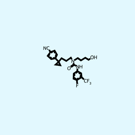 N#Cc1ccc(C2(CCCN(CCCCO)C(=O)Nc3ccc(F)c(C(F)(F)F)c3)CC2)cc1